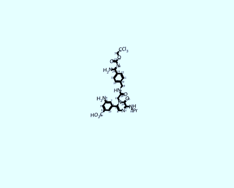 CC(C)Nc1ncc(-c2cc(N)cc(C(=O)O)c2)n(CC(=O)NCc2ccc(/C(N)=N/C(=O)OCC(Cl)(Cl)Cl)cc2)c1=O